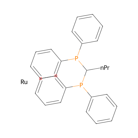 CCCC(P(c1ccccc1)c1ccccc1)P(c1ccccc1)c1ccccc1.[Ru]